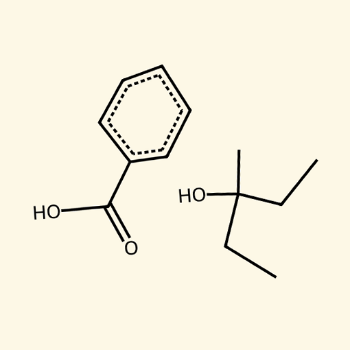 CCC(C)(O)CC.O=C(O)c1ccccc1